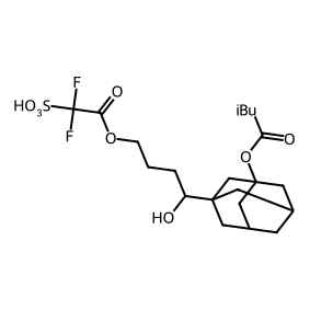 CCC(C)C(=O)OC12CC3CC(C1)CC(C(O)CCCOC(=O)C(F)(F)S(=O)(=O)O)(C3)C2